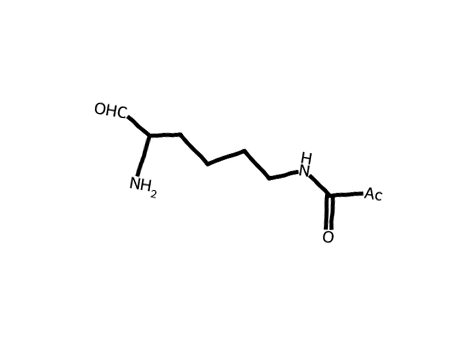 CC(=O)C(=O)NCCCCC(N)C=O